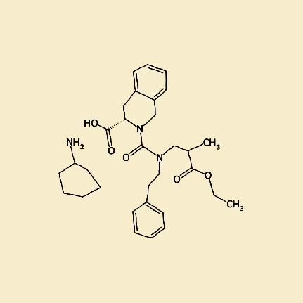 CCOC(=O)C(C)CN(CCc1ccccc1)C(=O)N1Cc2ccccc2C[C@H]1C(=O)O.NC1CCCCC1